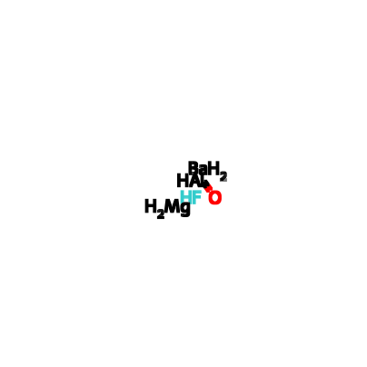 F.[BaH2].[MgH2].[O]=[AlH]